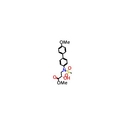 COC(=O)[C@@H](O)CN(c1ccc(-c2ccc(OC)cc2)cc1)S(C)(=O)=O